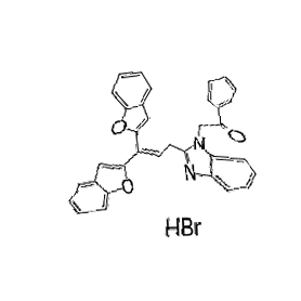 Br.O=C(Cn1c(CC=C(c2cc3ccccc3o2)c2cc3ccccc3o2)nc2ccccc21)c1ccccc1